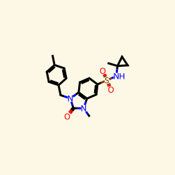 Cc1ccc(Cn2c(=O)n(C)c3cc(S(=O)(=O)NC4(C)CC4)ccc32)cc1